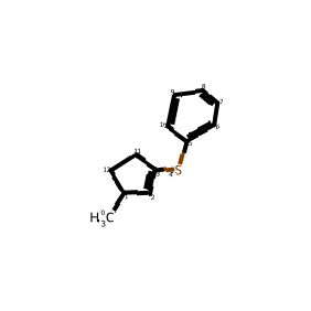 CC1C=C(Sc2ccccc2)CC1